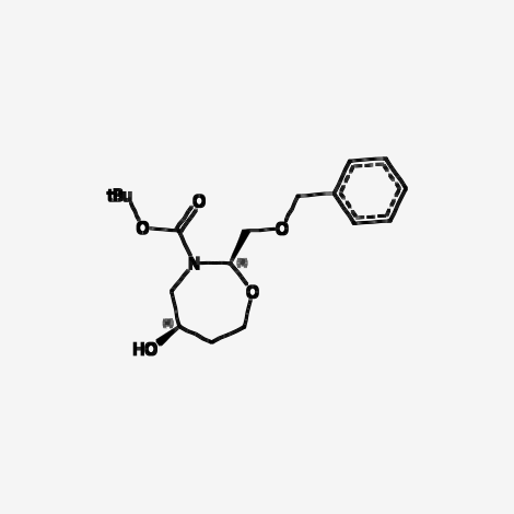 CC(C)(C)OC(=O)N1C[C@H](O)CCO[C@@H]1COCc1ccccc1